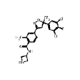 Cc1cc(C2=NOC(c3cc(Cl)c(F)c(Cl)c3)(C(F)(F)F)C2)ccc1C(=O)NC1CNC1